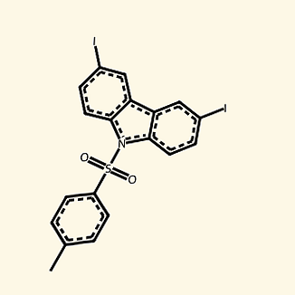 Cc1ccc(S(=O)(=O)n2c3ccc(I)cc3c3cc(I)ccc32)cc1